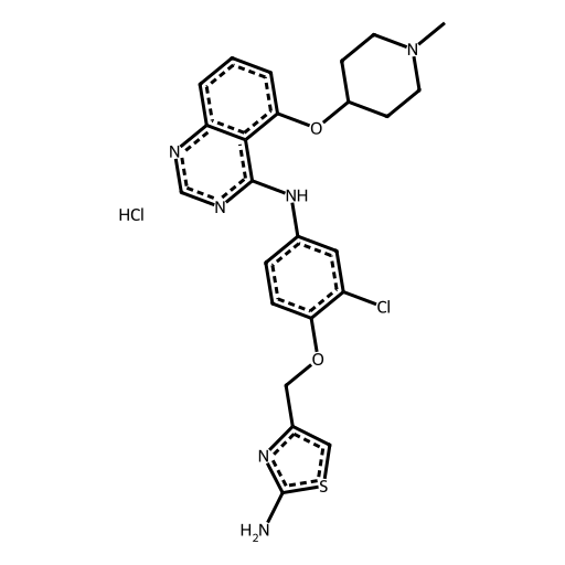 CN1CCC(Oc2cccc3ncnc(Nc4ccc(OCc5csc(N)n5)c(Cl)c4)c23)CC1.Cl